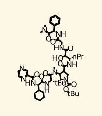 CCC[C@H](NC(=O)C1CN(C(=O)OC(C)(C)C)CC1N(C)C(=O)[C@@H](NC(=O)[C@@H](NC(=O)c1cnccn1)C1CCCCC1)C(C)(C)C)C(O)C(=O)NCC(=O)N[C@H](C(=O)N(C)C)c1ccccc1